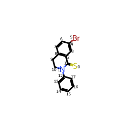 S=C1c2cc(Br)ccc2CCN1c1ccccc1